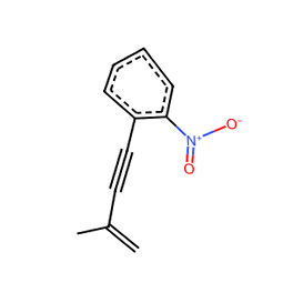 C=C(C)C#Cc1ccccc1[N+](=O)[O-]